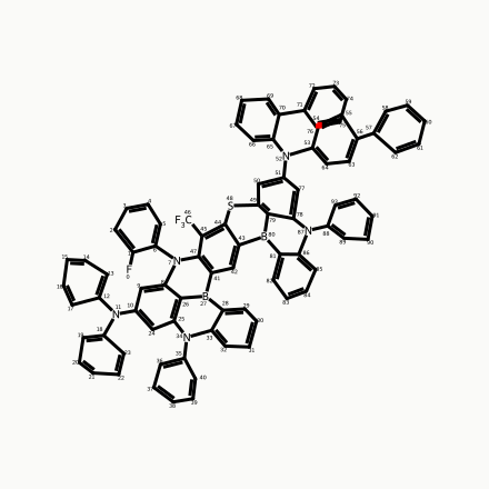 Fc1ccccc1N1c2cc(N(c3ccccc3)c3ccccc3)cc3c2B(c2ccccc2N3c2ccccc2)c2cc3c(c(C(F)(F)F)c21)Sc1cc(N(c2ccc(-c4ccccc4)cc2)c2ccccc2-c2ccccc2)cc2c1B3c1ccccc1N2c1ccccc1